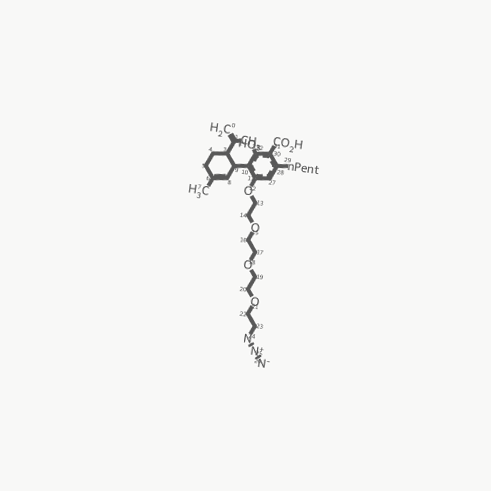 C=C(C)C1CCC(C)=CC1c1c(OCCOCCOCCOCCN=[N+]=[N-])cc(CCCCC)c(C(=O)O)c1O